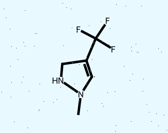 CN1[C]=C(C(F)(F)F)CN1